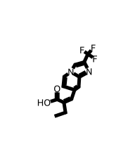 CCC(=Cc1ccn2cc(C(F)(F)F)nc2c1)C(=O)O